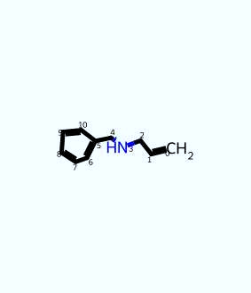 C=CCN[CH]c1ccccc1